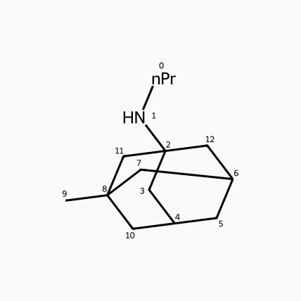 CCCNC12CC3CC(CC(C)(C3)C1)C2